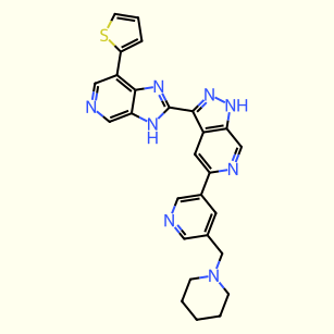 c1csc(-c2cncc3[nH]c(-c4n[nH]c5cnc(-c6cncc(CN7CCCCC7)c6)cc45)nc23)c1